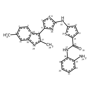 Cc1ccn2c(-c3csc(Nc4ccc(C(=O)Nc5ccccc5N)s4)n3)c(C)nc2c1